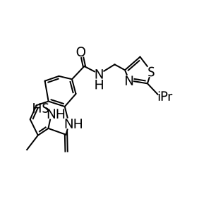 C=C1Nc2cc(C(=O)NCc3csc(C(C)C)n3)ccc2/C=C\C(C)=C\1NS